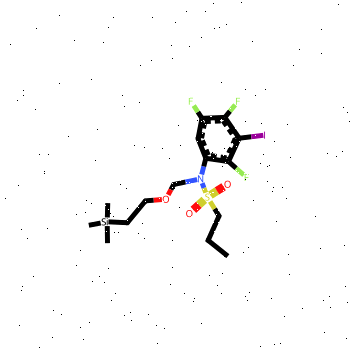 CCCS(=O)(=O)N(COCC[Si](C)(C)C)c1cc(F)c(F)c(I)c1F